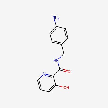 Nc1ccc(CNC(=O)c2ncccc2O)cc1